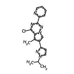 Cc1c(-c2ccn(C(C)C)n2)cn2nc(-c3ccccn3)nc(Cl)c12